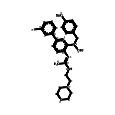 COc1ccc(CN(C=O)c2nc(-c3cccc(F)c3)ccc2/N=C(\C)NCCN2CCOCC2)cc1